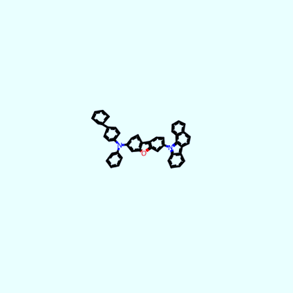 c1ccc(-c2ccc(N(c3ccccc3)c3ccc4c(c3)oc3cc(-n5c6ccccc6c6ccc7ccccc7c65)ccc34)cc2)cc1